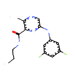 COc1ncc(Nc2cc(F)cc(F)c2)nc1C(=O)NCCC(C)C